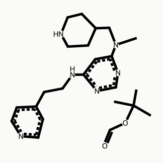 CC(C)(C)OC=O.CN(CC1CCNCC1)c1cc(NCCc2ccncc2)ncn1